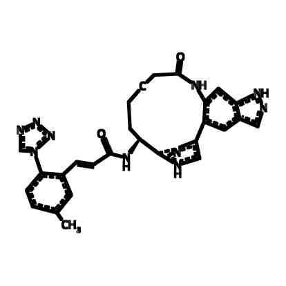 Cc1ccc(-n2cnnn2)c(/C=C/C(=O)N[C@H]2CCCCC(=O)Nc3cc4[nH]ncc4cc3-c3c[nH]c2n3)c1